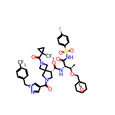 C[C@@H](OCC12CCC(CC1)OC2)[C@H](NC(=O)[C@@H]1CN(C(=O)c2cnn(Cc3ccc(C(F)(F)F)cc3)c2)CC12CN(C(=O)C1(C(F)(F)F)CC1)C2)C(=O)NS(=O)(=O)c1ccc(F)cc1